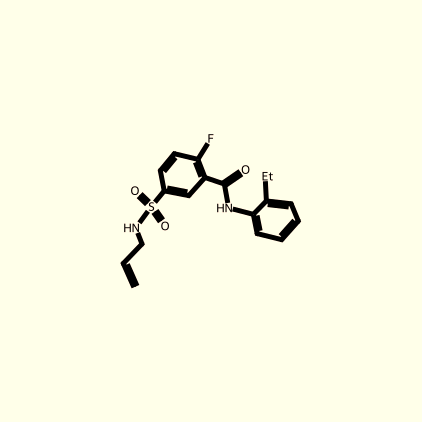 C=CCNS(=O)(=O)c1ccc(F)c(C(=O)Nc2ccccc2CC)c1